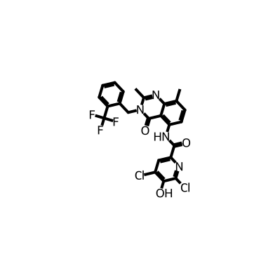 Cc1ccc(NC(=O)c2cc(Cl)c(O)c(Cl)n2)c2c(=O)n(Cc3ccccc3C(F)(F)F)c(C)nc12